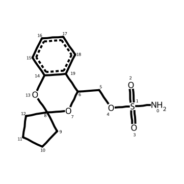 NS(=O)(=O)OCC1OC2(CCCC2)Oc2ccccc21